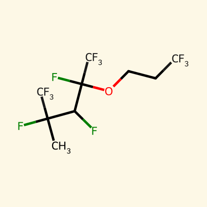 CC(F)(C(F)C(F)(OCCC(F)(F)F)C(F)(F)F)C(F)(F)F